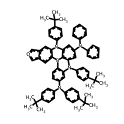 CC(C)(C)c1ccc(N(c2ccc(C(C)(C)C)cc2)c2ccc3c(c2)N(c2ccc(C(C)(C)C)cc2)c2cc(N(c4ccccc4)c4ccccc4)cc4c2B3c2cc3cocc3cc2N4c2ccc(C(C)(C)C)cc2)cc1